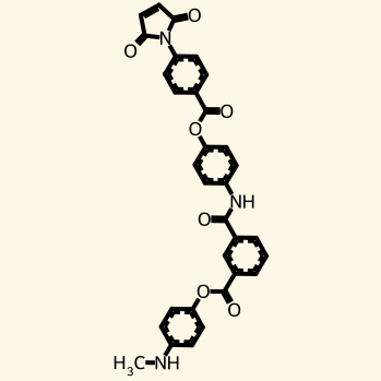 CNc1ccc(OC(=O)c2cccc(C(=O)Nc3ccc(OC(=O)c4ccc(N5C(=O)C=CC5=O)cc4)cc3)c2)cc1